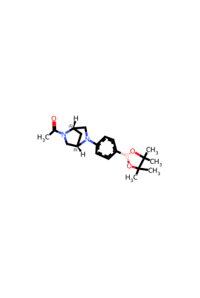 CC(=O)N1C[C@@H]2C[C@H]1CN2c1ccc(B2OC(C)(C)C(C)(C)O2)cc1